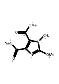 COC(=O)c1nc(OC)n(C)c1C(=O)OC